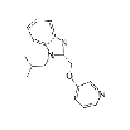 CC(C)Cn1c(COc2cccnc2)nc2ccccc21